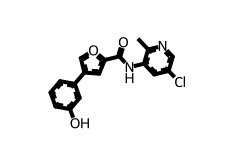 Cc1ncc(Cl)cc1NC(=O)c1cc(-c2cccc(O)c2)co1